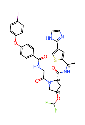 C[C@@H](NC(=O)[C@@H]1C[C@@H](OC(F)F)CN1C(=O)CNC(=O)c1ccc(Oc2ccc(I)cc2)cc1)c1cc(-c2ncc[nH]2)cs1